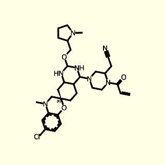 C=CC(=O)N1CCN(C2NC(OCC3CCCN3C)NC3C[C@]4(CCC32)CN(C)c2cc(Cl)ccc2O4)CC1CC#N